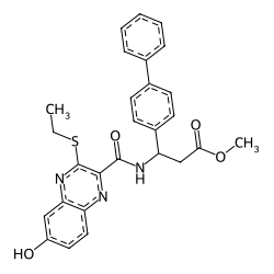 CCSc1nc2cc(O)ccc2nc1C(=O)NC(CC(=O)OC)c1ccc(-c2ccccc2)cc1